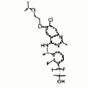 Cc1nc(N[C@H](C)c2cccc(C(F)(F)C(C)(C)O)c2F)c2cc(OCCOC(C)C)c(Cl)cc2n1